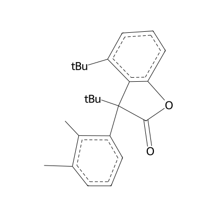 Cc1cccc(C2(C(C)(C)C)C(=O)Oc3cccc(C(C)(C)C)c32)c1C